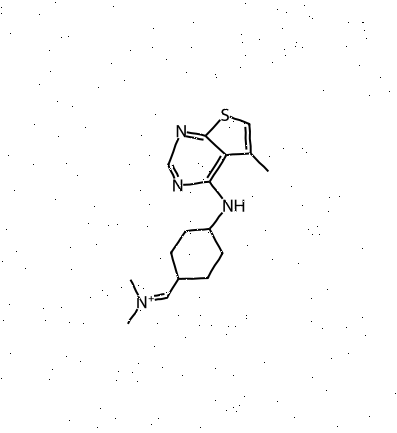 Cc1csc2ncnc(NC3CCC(C=[N+](C)C)CC3)c12